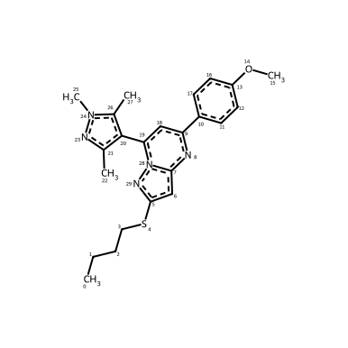 CCCCSc1cc2nc(-c3ccc(OC)cc3)cc(-c3c(C)nn(C)c3C)n2n1